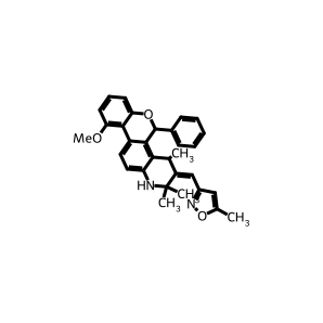 COc1cccc2c1-c1ccc3c(c1C(c1ccccc1)O2)C(C)C(=Cc1cc(C)on1)C(C)(C)N3